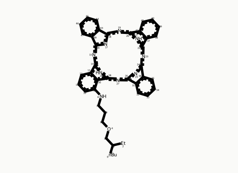 CCCCC(CC)COCCCNc1cccc2c3nc4nc(nc5[nH]c(nc6nc(nc([nH]3)c12)-c1ccccc1-6)c1ccccc51)-c1ccccc1-4